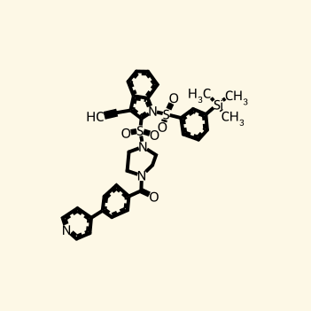 C#Cc1c(S(=O)(=O)N2CCN(C(=O)c3ccc(-c4ccncc4)cc3)CC2)n(S(=O)(=O)c2cccc([Si](C)(C)C)c2)c2ccccc12